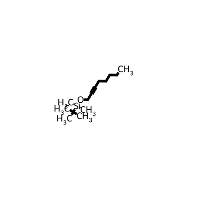 CCCCCC#CCO[Si](C)(C)C(C)(C)C